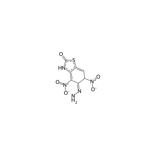 NN=C1C([N+](=O)[O-])=c2[nH]c(=O)sc2=CC1[N+](=O)[O-]